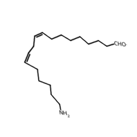 NCCCCC/C=C\C/C=C\CCCCCCC[C]=O